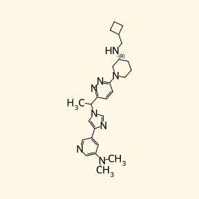 CC(c1ccc(N2CCC[C@@H](NCC3CCC3)C2)nn1)n1cnc(-c2cncc(N(C)C)c2)c1